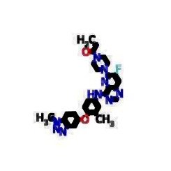 C=CC(=O)N1CCN(c2nc3c(Nc4ccc(Oc5ccc6c(c5)nnn6C)c(C)c4)ncnc3cc2F)CC1